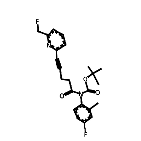 Cc1cc(F)ccc1N(C(=O)CCC#Cc1cccc(CF)n1)C(=O)OC(C)(C)C